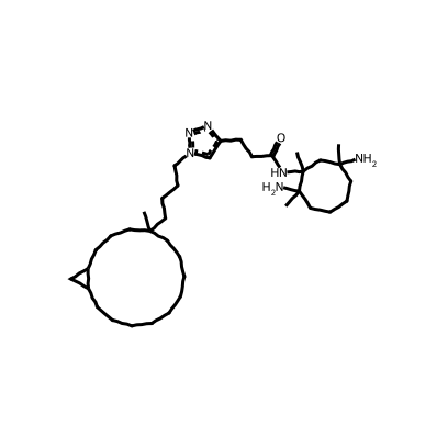 CC1(N)CCCCC(C)(N)C(C)(NC(=O)CCc2cn(CCCCC3(C)CCCCCCCCCC4CC4CCC3)nn2)C1